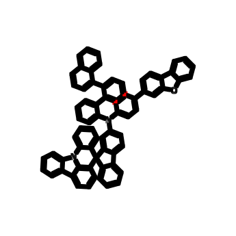 c1ccc(-c2cccc3ccccc23)c(-c2ccccc2N(c2ccc(-c3ccc4c(c3)oc3ccccc34)cc2)c2ccc3c(c2)C2(c4ccccc4-3)c3ccccc3-n3c4ccccc4c4cccc2c43)c1